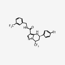 CCc1ccc([C@H]2C[C@@H](C(F)(F)F)n3ncc(C(=O)NCc4cccc(C(F)(F)F)c4)c3N2)cc1